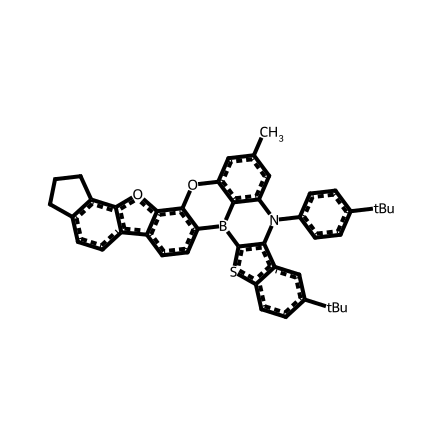 Cc1cc2c3c(c1)N(c1ccc(C(C)(C)C)cc1)c1c(sc4ccc(C(C)(C)C)cc14)B3c1ccc3c(oc4c5c(ccc43)CCC5)c1O2